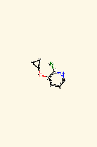 Brc1ncccc1OC1CC1